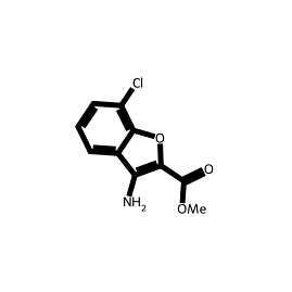 COC(=O)c1oc2c(Cl)cccc2c1N